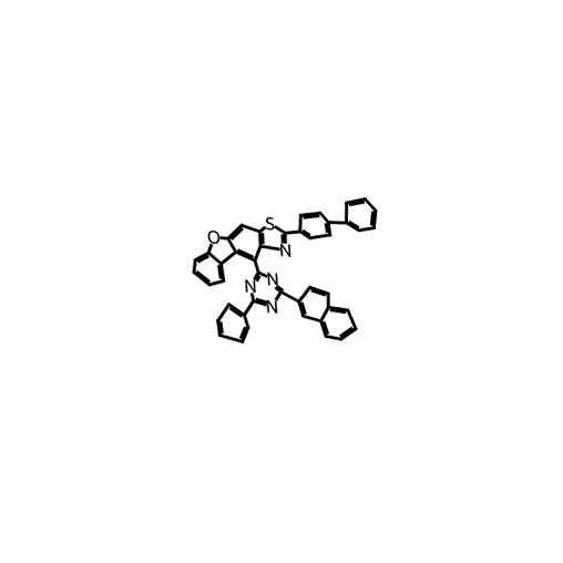 c1ccc(-c2ccc(-c3nc4c(-c5nc(-c6ccccc6)nc(-c6ccc7ccccc7c6)n5)c5c(cc4s3)oc3ccccc35)cc2)cc1